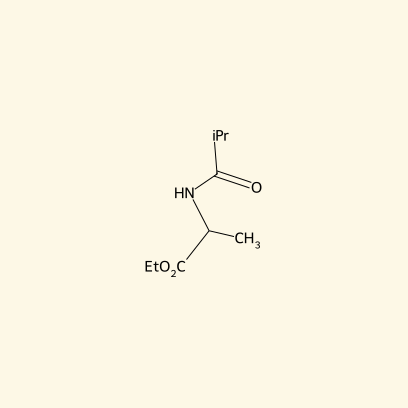 CCOC(=O)C(C)NC(=O)C(C)C